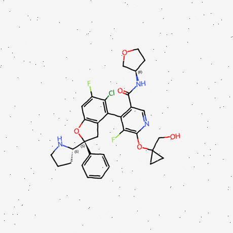 O=C(N[C@@H]1CCOC1)c1cnc(OC2(CO)CC2)c(F)c1-c1c(Cl)c(F)cc2c1C[C@](c1ccccc1)([C@@H]1CCCN1)O2